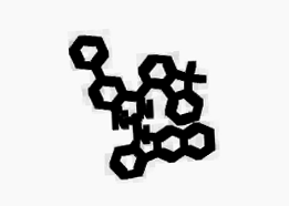 CC1(C)c2ccccc2-c2c(-c3nc(-n4c5ccccc5c5cc6ccccc6cc54)nc4ccc(-c5ccccc5)cc34)cccc21